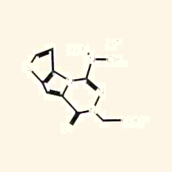 CN(C)c1nn(CC(=O)[O-])c(=O)c2cc3sccc3n12.[Li+]